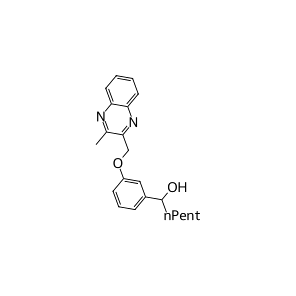 CCCCCC(O)c1cccc(OCc2nc3ccccc3nc2C)c1